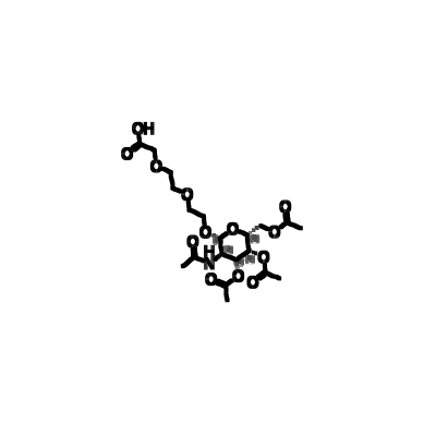 CC(=O)N[C@H]1[C@H](OCCOCCOCC(=O)O)O[C@H](COC(C)=O)[C@H](OC(C)=O)[C@@H]1OC(C)=O